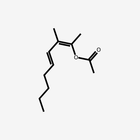 CCCCC=CC(C)=C(C)OC(C)=O